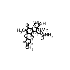 COC12C(COC(N)=O)C3=C(C(=O)C(C)=C(OC4CCN(C)C4)C3=O)N1CC1NC12